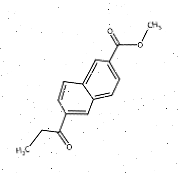 CCC(=O)c1ccc2cc(C(=O)OC)ccc2c1